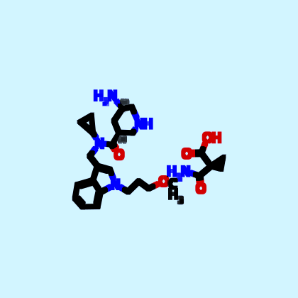 COCCCn1cc(CN(C(=O)[C@@H]2CNC[C@H](N)C2)C2CC2)c2ccccc21.NC(=O)C1(C(=O)O)CC1